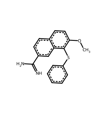 COc1ccc2ccc(C(=N)N)cc2c1Sc1ccccc1